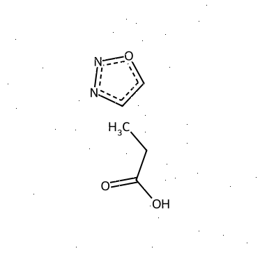 CCC(=O)O.c1conn1